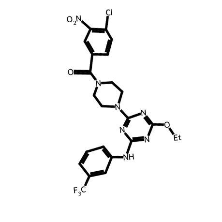 CCOc1nc(Nc2cccc(C(F)(F)F)c2)nc(N2CCN(C(=O)c3ccc(Cl)c([N+](=O)[O-])c3)CC2)n1